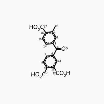 Cc1cc(C(=O)c2ccc(C(=O)O)c(C(=O)O)c2)ccc1C(=O)O